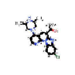 CNC(=O)c1cc2c(N3CC(C)NC(C)C3)ccnc2n2c1nc1cc(Cl)ccc12